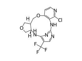 FC(F)(F)c1cnc2nc1N[C@@H]1COC[C@H]1COc1ccnc(Cl)c1N2